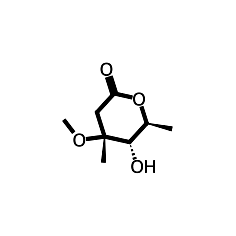 CO[C@]1(C)CC(=O)O[C@@H](C)[C@@H]1O